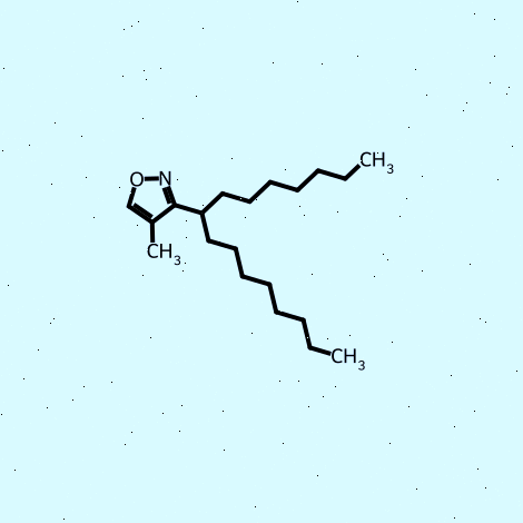 CCCCCCCCC(CCCCCCC)c1nocc1C